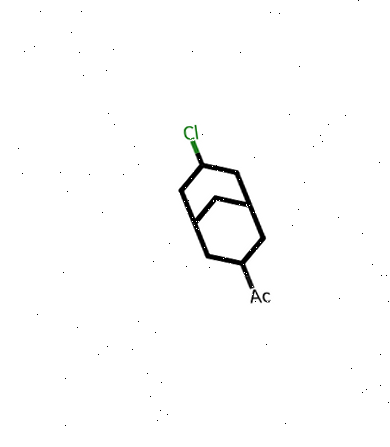 CC(=O)C1CC2CC(Cl)CC(C2)C1